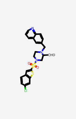 O=CC1CN(S(=O)(=O)c2cc3ccc(Cl)cc3s2)CCN1Cc1ccc2ncccc2c1